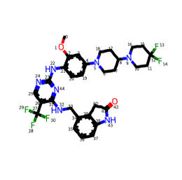 COc1cc(N2CCC(N3CCC(F)(F)CC3)CC2)ccc1Nc1ncc(C(F)(F)F)c(NCc2cccc3c2CC(=O)N3)n1